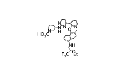 CCO[C@@H](CNc1cccc2c(Oc3ncccc3-c3ccnc(NC4CCCN(C(=O)O)C4)n3)c(C)ccc12)C(F)(F)F